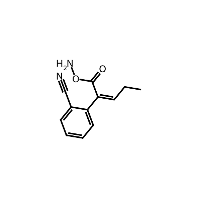 CCC=C(C(=O)ON)c1ccccc1C#N